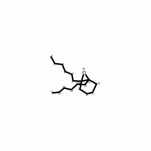 CCCCCCC12CCCCC1(CCCCCC)O2